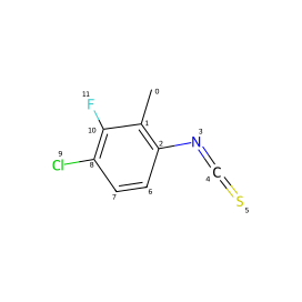 Cc1c(N=C=S)ccc(Cl)c1F